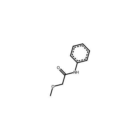 COCC(=O)Nc1ccccc1